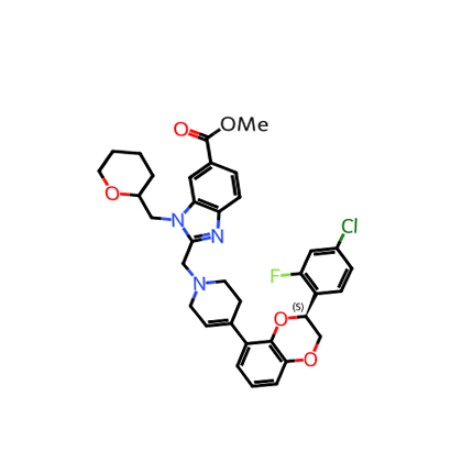 COC(=O)c1ccc2nc(CN3CC=C(c4cccc5c4O[C@@H](c4ccc(Cl)cc4F)CO5)CC3)n(CC3CCCCO3)c2c1